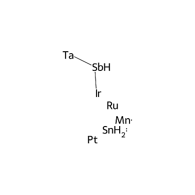 [Mn].[Pt].[Ru].[SnH2].[Ta][SbH][Ir]